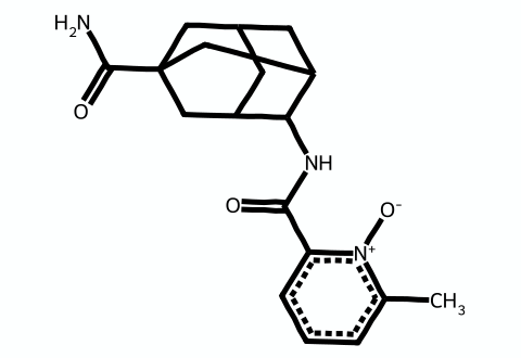 Cc1cccc(C(=O)NC2C3CC4CC2CC(C(N)=O)(C4)C3)[n+]1[O-]